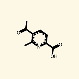 CC(=O)c1ccc(C(=O)O)nc1C